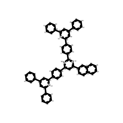 c1ccc(-c2cc(-c3ccccc3)nc(-c3ccc(-c4cc(-c5ccc6ccccc6c5)nc(-c5ccc(-c6cc(-c7ccccc7)cc(-c7ccccc7)n6)cc5)n4)cc3)c2)cc1